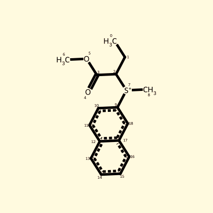 CCC(C(=O)OC)[S+](C)c1ccc2ccccc2c1